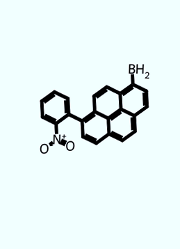 Bc1ccc2ccc3ccc(-c4ccccc4[N+](=O)[O-])c4ccc1c2c34